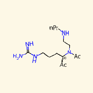 CCCNCCN(C(C)=O)[C@H](CCCNC(=N)N)C(C)=O